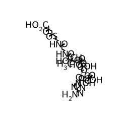 CC(C)(COP(=O)(O)OP(=O)(O)OC[C@H]1O[C@@H](n2cnc3c(N)ncnc32)[C@H](O)[C@@H]1OP(=O)(O)O)[C@@H](O)C(=O)NCCC(=O)NCCSC(=O)CC(=O)CC(=O)O